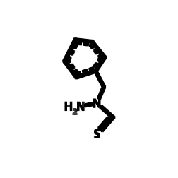 NN(C=S)Cc1ccccc1